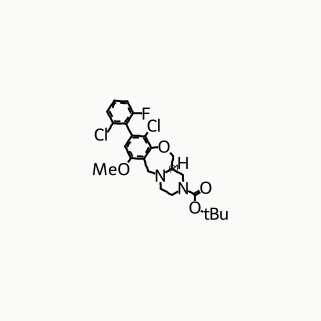 COc1cc(-c2c(F)cccc2Cl)c(Cl)c2c1CN1CCN(C(=O)OC(C)(C)C)C[C@@H]1CO2